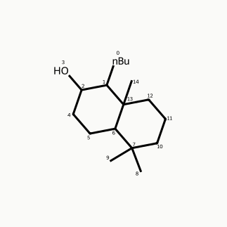 CCCCC1C(O)CCC2C(C)(C)CCCC12C